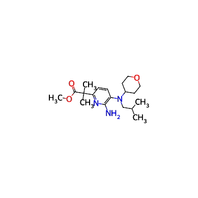 COC(=O)C(C)(C)c1ccc(N(CC(C)C)C2CCOCC2)c(N)n1